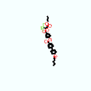 CCCCCOc1ccc(-c2ccc(C(=O)Oc3ccc(C(=O)OC(C(=O)OCCCC)C(F)(F)F)cc3)cc2)cc1